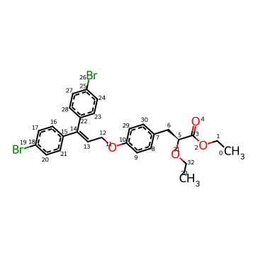 CCOC(=O)[C@H](Cc1ccc(OCC=C(c2ccc(Br)cc2)c2ccc(Br)cc2)cc1)OCC